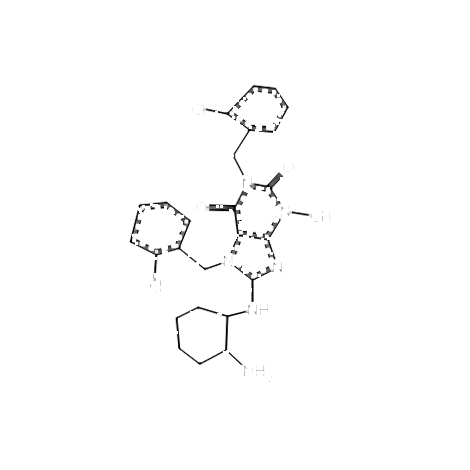 Cn1c(=O)n(Cc2ccccc2Cl)c(=O)c2c1nc(NC1CCCCC1N)n2Cc1ccccc1Cl